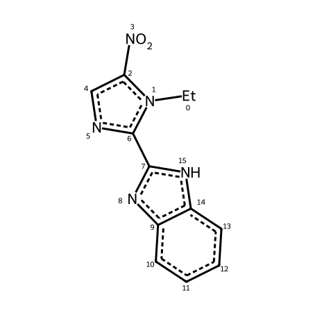 CCn1c([N+](=O)[O-])cnc1-c1nc2ccccc2[nH]1